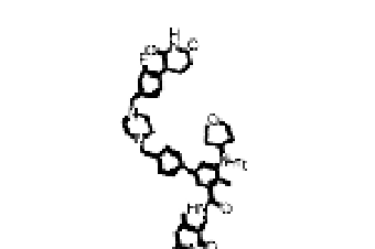 CCN(c1cc(-c2ccc(CN3CCN(Cc4ccc(C5CCC(=O)NC5=O)c(F)c4)CC3)cc2)cc(C(=O)NCc2c(C)cc(C)[nH]c2=O)c1C)C1CCOCC1